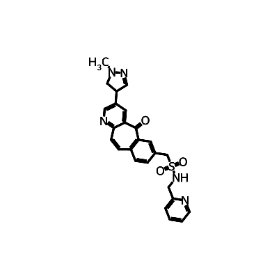 CN1CC(c2cnc3ccc4ccc(CS(=O)(=O)NCc5ccccn5)cc4c(=O)c3c2)C=N1